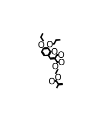 C=C(C)C(=O)OCCOC(=O)c1cc2ccc(OCCC)c(OCCC)c2oc1=O